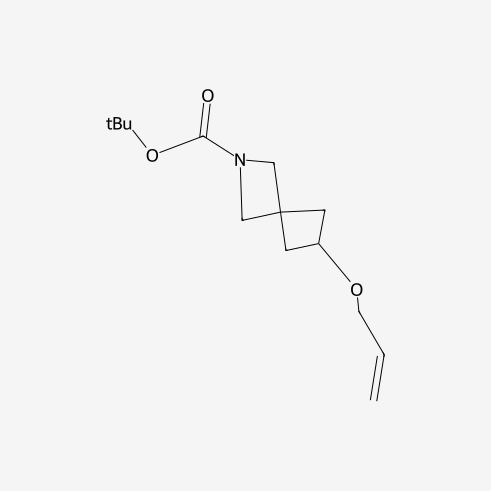 C=CCOC1CC2(C1)CN(C(=O)OC(C)(C)C)C2